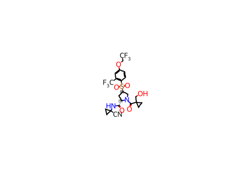 N#CC1(NC(=O)[C@@H]2C[C@@H](S(=O)(=O)c3ccc(OCC(F)(F)F)cc3C(F)(F)F)CN2C(=O)C2(CO)CC2)CC1